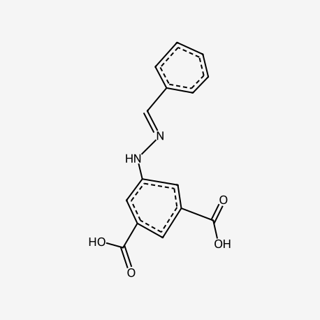 O=C(O)c1cc(NN=Cc2ccccc2)cc(C(=O)O)c1